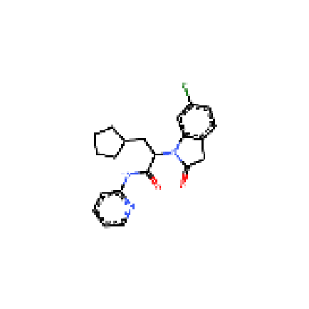 O=C(Nc1ccccn1)C(CC1CCCC1)N1C(=O)Cc2ccc(Cl)cc21